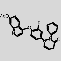 COc1ccc2c(Oc3ccc(N4C=CCC(=O)N4c4ccccc4)cc3F)ccnc2c1